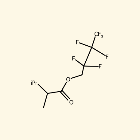 CC(C)C(C)C(=O)OCC(F)(F)C(F)(F)C(F)(F)F